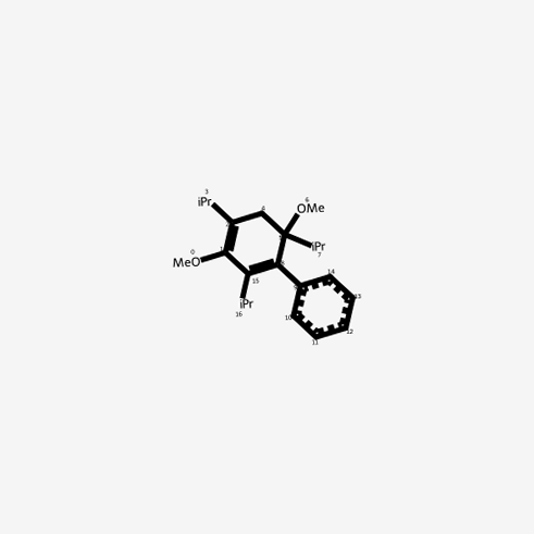 COC1=C(C(C)C)CC(OC)(C(C)C)C(c2ccccc2)=C1C(C)C